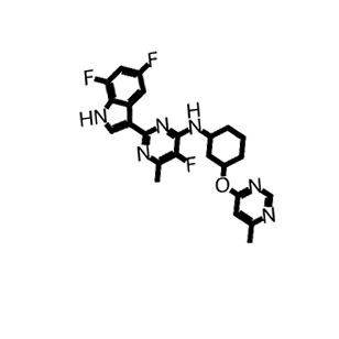 Cc1cc(OC2CCCC(Nc3nc(-c4c[nH]c5c(F)cc(F)cc45)nc(C)c3F)C2)ncn1